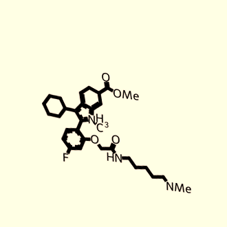 CNCCCCCNC(=O)COc1cc(F)ccc1-c1c(C2CCCCC2)c2c(n1C)=CC(C(=O)OC)CC=2